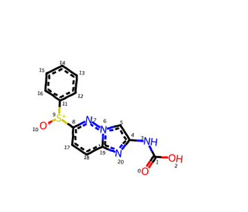 O=C(O)Nc1cn2nc([S+]([O-])c3ccccc3)ccc2n1